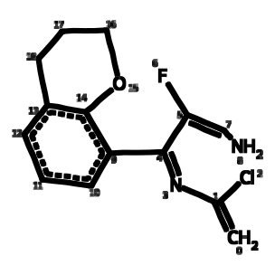 C=C(Cl)/N=C(\C(F)=C/N)c1cccc2c1OCCC2